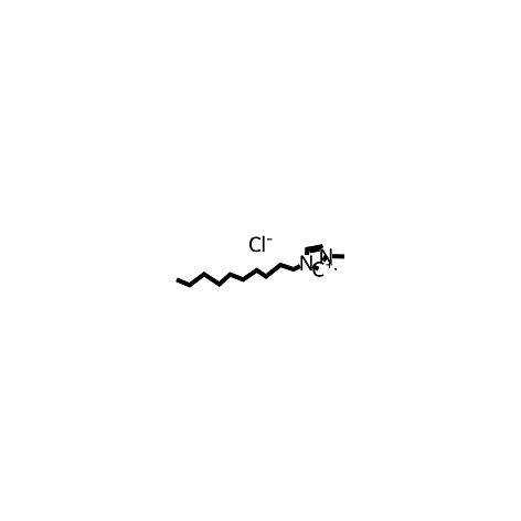 CCCCCCCCCCN1[C+]N(C)C=C1.[Cl-]